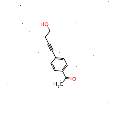 CC(=O)c1ccc(C#CCCO)cc1